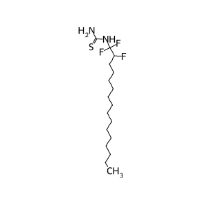 CCCCCCCCCCCCCCC(F)C(F)(F)NC(N)=S